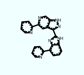 c1ccc(-c2cc3c(-c4nc5c(-c6ccccn6)cccc5[nH]4)n[nH]c3cn2)nc1